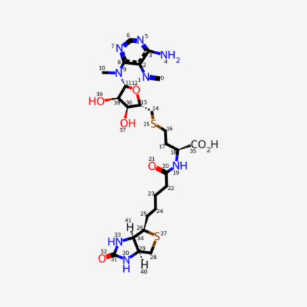 C=Nc1c(N)ncnc1N(C)[C@@H]1O[C@H](CSCC[C@H](NC(=O)CCCC[C@H]2SC[C@H]3NC(=O)N[C@H]32)C(=O)O)[C@@H](O)[C@H]1O